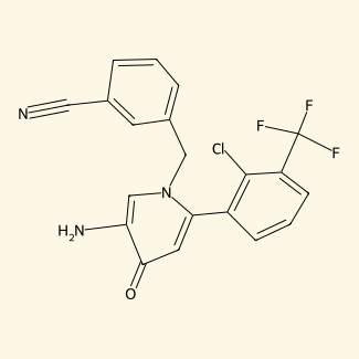 N#Cc1cccc(Cn2cc(N)c(=O)cc2-c2cccc(C(F)(F)F)c2Cl)c1